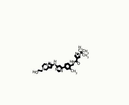 Cc1cc(-c2cc(Nc3cc4n(n3)CCN(CCO)C4)ncn2)ccc1CNC(=O)c1cnn(C(C)(C)C)c1